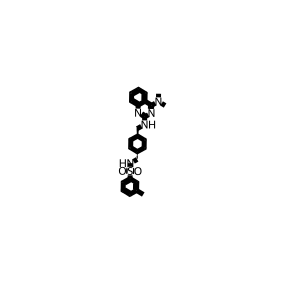 Cc1cccc(S(=O)(=O)NC[C@H]2CC[C@H](CNc3nc(N(C)C)c4ccccc4n3)CC2)c1